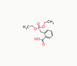 CCOP(=O)(Cc1ccccc1C(=O)O)OCC